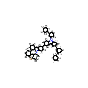 c1ccc(-c2cccc(-c3ccc4c(c3)c3cc(-c5ccc6c(c5)c5ccccc5n6-c5cccc6sc7ccccc7c56)ccc3n4-c3cccc(-c4ccccc4)c3)c2)cc1